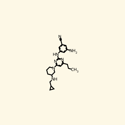 CCCc1cc(N2CCCC(NCC3CC3)C2)nc(Nc2cc(N)cc(C#N)c2)n1